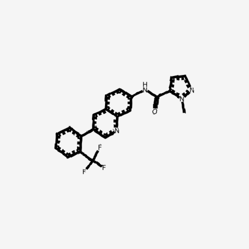 Cn1nccc1C(=O)Nc1ccc2cc(-c3ccccc3C(F)(F)F)cnc2c1